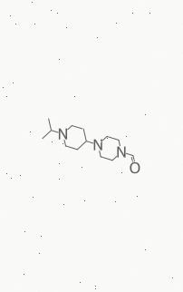 CC(C)N1CCC(N2CCN(C=O)CC2)CC1